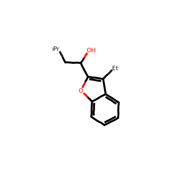 CCc1c(C(O)CC(C)C)oc2ccccc12